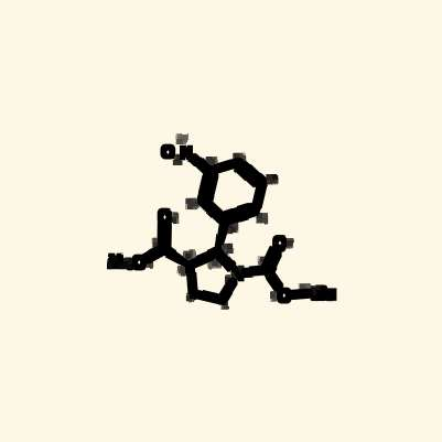 COC(=O)[C@@H]1CCN(C(=O)OC(C)(C)C)[C@@H]1c1cccc([N+](=O)[O-])c1